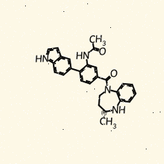 CC(=O)Nc1cc(C(=O)N2CC[C@@H](C)Nc3ccccc32)ccc1-c1ccc2[nH]ccc2c1